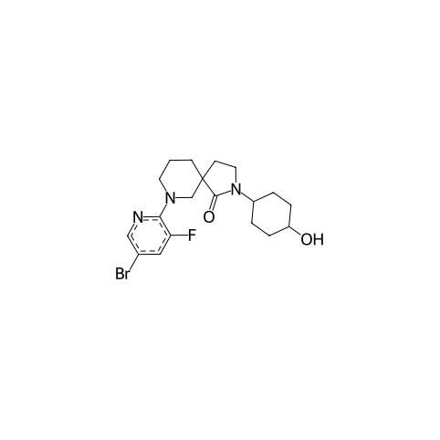 O=C1N(C2CCC(O)CC2)CCC12CCCN(c1ncc(Br)cc1F)C2